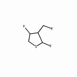 FCC1C(F)CSC1F